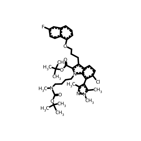 Cc1nn(C)c(C)c1-c1c(Cl)ccc2c(CCCOc3cccc4cc(F)ccc34)c(C(=O)OC(C)(C)C)n(CCCCN(C)C(=O)OC(C)(C)C)c12